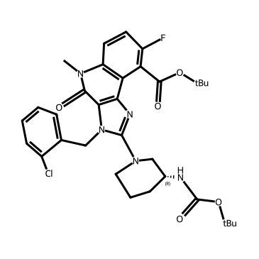 Cn1c(=O)c2c(nc(N3CCC[C@@H](NC(=O)OC(C)(C)C)C3)n2Cc2ccccc2Cl)c2c(C(=O)OC(C)(C)C)c(F)ccc21